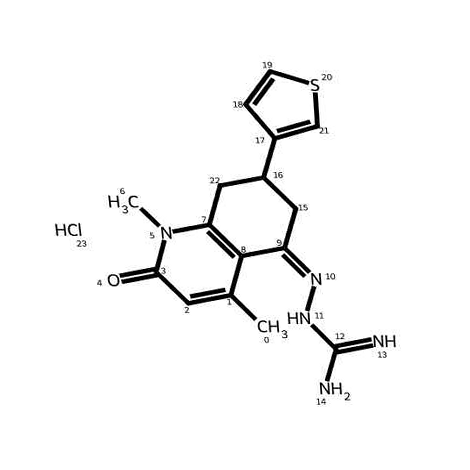 Cc1cc(=O)n(C)c2c1/C(=N\NC(=N)N)CC(c1ccsc1)C2.Cl